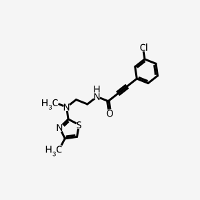 Cc1csc(N(C)CCNC(=O)C#Cc2cccc(Cl)c2)n1